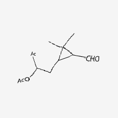 CC(=O)OC(CC1C(C=O)C1(C)C)C(C)=O